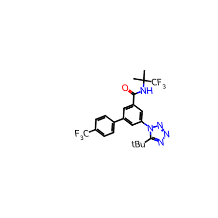 CC(C)(C)c1nnnn1-c1cc(C(=O)NC(C)(C)C(F)(F)F)cc(-c2ccc(C(F)(F)F)cc2)c1